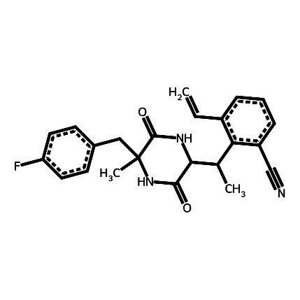 C=Cc1cccc(C#N)c1C(C)C1NC(=O)C(C)(Cc2ccc(F)cc2)NC1=O